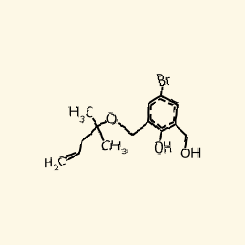 C=CCC(C)(C)OCc1cc(Br)cc(CO)c1O